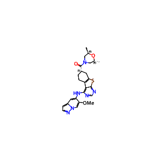 COc1cn2nccc2cc1Nc1ncnc2sc3c(c12)CC[C@H](C(=O)N1C[C@@H](C)O[C@H](C)C1)C3